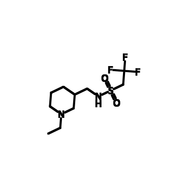 CCN1CCCC(CNS(=O)(=O)CC(F)(F)F)C1